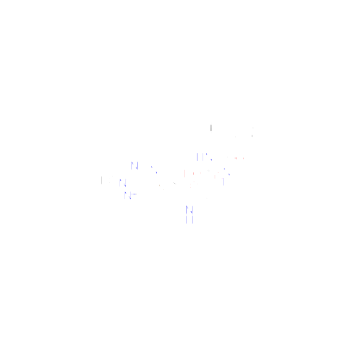 Cn1ncc2c(SC[C@@H]3CNC[C@@H](CCc4ccccc4NC(=O)C(NC(=O)O)C(c4ccccc4)c4ccccc4)O3)ncnc21